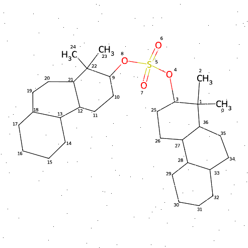 CC1(C)C(OS(=O)(=O)OC2CCC3C4CCCCC4CCC3C2(C)C)CCC2C3CCCCC3CCC21